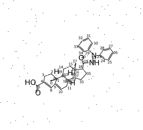 C[C@]12CCC(C(=O)O)=CC1=CC[C@@H]1[C@@H]2CC[C@]2(C)C(C(=O)NN(c3ccccc3)c3ccccc3)CC[C@@H]12